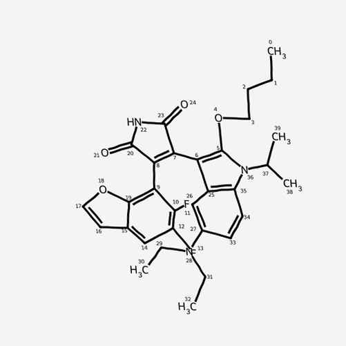 CCCCOc1c(C2=C(c3c(F)c(F)cc4ccoc34)C(=O)NC2=O)c2cc(N(CC)CC)ccc2n1C(C)C